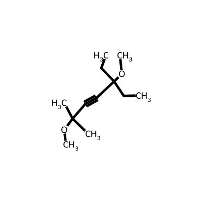 CCC(C#CC(C)(C)OC)(CC)OC